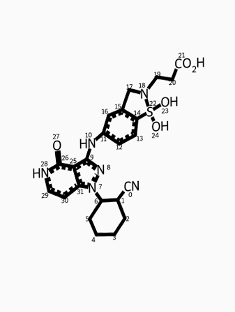 N#CC1CCCCC1n1nc(Nc2ccc3c(c2)CN(CCC(=O)O)S3(O)O)c2c(=O)[nH]ccc21